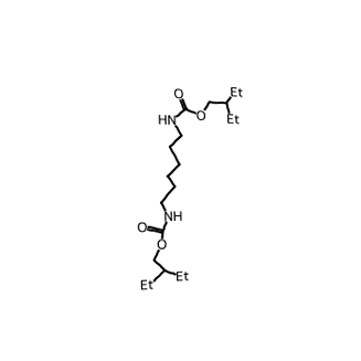 CCC(CC)COC(=O)NCCCCCCNC(=O)OCC(CC)CC